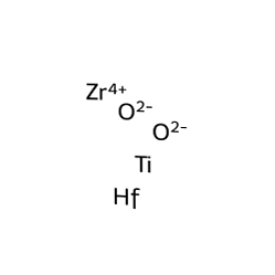 [Hf].[O-2].[O-2].[Ti].[Zr+4]